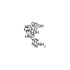 Nc1ncnc2c1ncn2CC(=O)NC(Cc1ccccc1)C(=O)N[C@H]1C(O)OC(CO)[C@@H](O)C1O